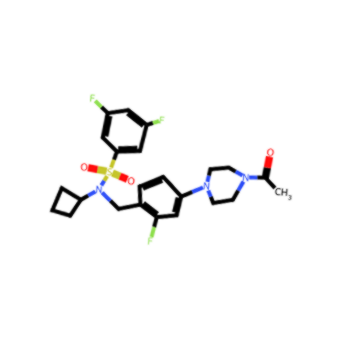 CC(=O)N1CCN(c2ccc(CN(C3CCC3)S(=O)(=O)c3cc(F)cc(F)c3)c(F)c2)CC1